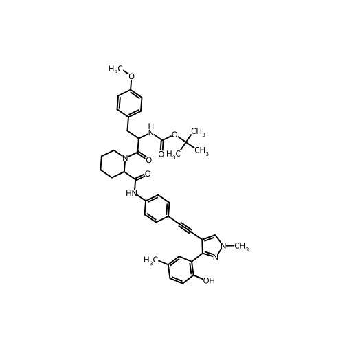 COc1ccc(CC(NC(=O)OC(C)(C)C)C(=O)N2CCCCC2C(=O)Nc2ccc(C#Cc3cn(C)nc3-c3cc(C)ccc3O)cc2)cc1